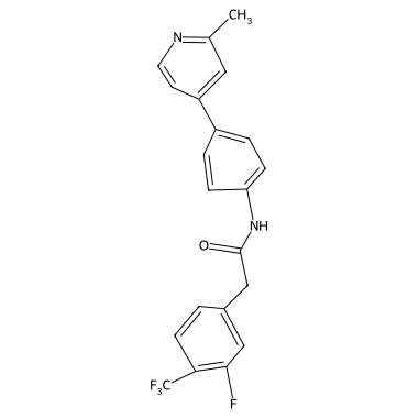 Cc1cc(-c2ccc(NC(=O)Cc3ccc(C(F)(F)F)c(F)c3)cc2)ccn1